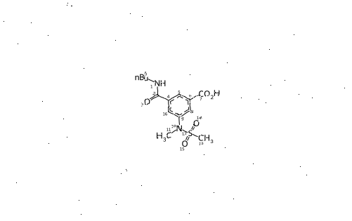 CCCCNC(=O)c1cc(C(=O)O)cc(N(C)S(C)(=O)=O)c1